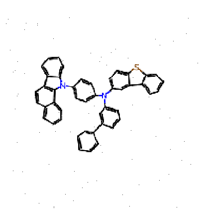 c1ccc(-c2cccc(N(c3ccc(-n4c5ccccc5c5ccc6ccccc6c54)cc3)c3ccc4sc5ccccc5c4c3)c2)cc1